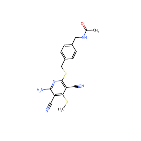 CSc1c(C#N)c(N)nc(SCc2ccc(CNC(C)=O)cc2)c1C#N